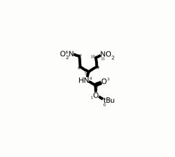 CC(C)(C)OC(=O)NC(CC[N+](=O)[O-])CC[N+](=O)[O-]